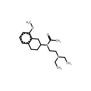 CCN(CC)CCN(C(C)=O)C1CCc2cccc(OC)c2C1